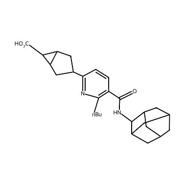 CCCCc1nc(C2CC3C(C2)C3C(=O)O)ccc1C(=O)NC1C2CC3CC(C2)CC1C3